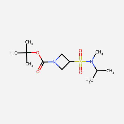 CC(C)N(C)S(=O)(=O)C1CN(C(=O)OC(C)(C)C)C1